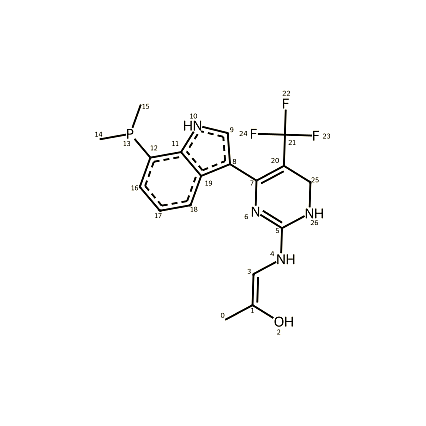 C/C(O)=C/NC1=NC(c2c[nH]c3c(P(C)C)cccc23)=C(C(F)(F)F)CN1